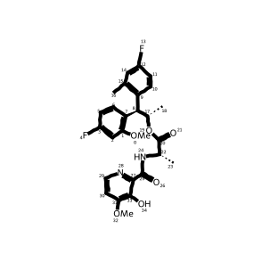 COc1cc(F)ccc1[C@@H](c1ccc(F)cc1C)[C@H](C)OC(=O)[C@H](C)NC(=O)c1nccc(OC)c1O